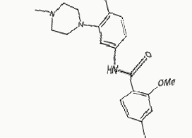 COc1cc(I)ccc1C(=O)Nc1ccc(OC)c(N2CCN(C)CC2)c1